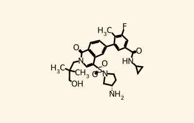 Cc1c(F)cc(C(=O)NC2CC2)cc1-c1ccc2c(=O)n(CC(C)(C)CO)cc(S(=O)(=O)N3CC[C@H](N)C3)c2c1